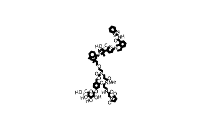 CNC(=O)CCN(CCOCCC1(C)CC2(C)CCCC(Cn3ncc(-c4ccc(N5CCc6cccc(C(=O)Nc7nc8ccccc8s7)c6C5)nc4C(=O)O)c3C)(C2)C1)C(=O)OCc1ccc(O[C@@H]2O[C@H](C(=O)O)[C@@H](O)[C@H](O)[C@H]2O)cc1OCCCNC(=O)CN1C(=O)C=CC1=O